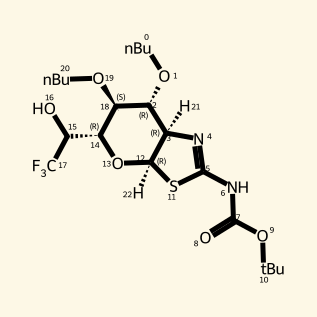 CCCCO[C@@H]1[C@H]2N=C(NC(=O)OC(C)(C)C)S[C@H]2O[C@H](C(O)C(F)(F)F)[C@H]1OCCCC